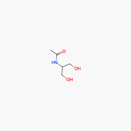 CC(=O)NC(CO)CO